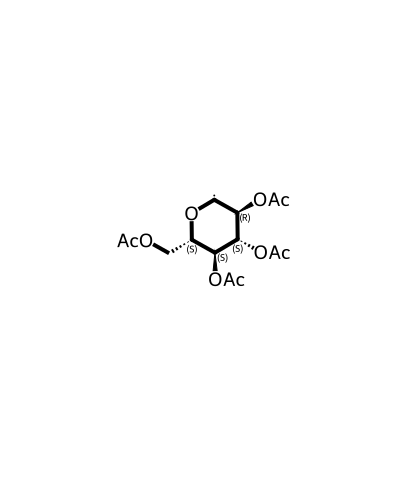 CC(=O)OC[C@@H]1O[CH][C@@H](OC(C)=O)[C@H](OC(C)=O)[C@H]1OC(C)=O